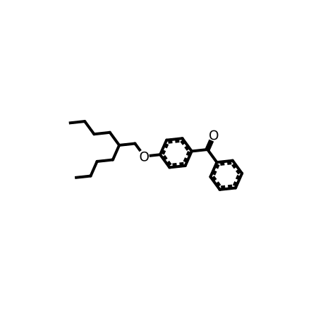 CCCCC(CCCC)COc1ccc(C(=O)c2ccccc2)cc1